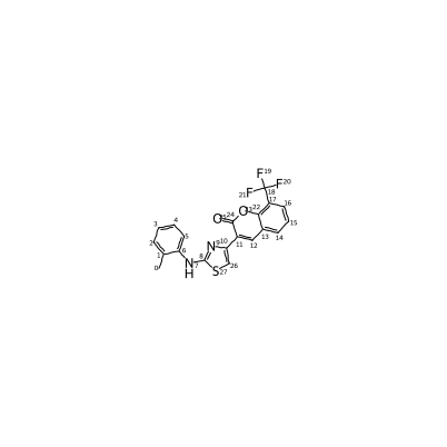 Cc1ccccc1Nc1nc(-c2cc3cccc(C(F)(F)F)c3oc2=O)cs1